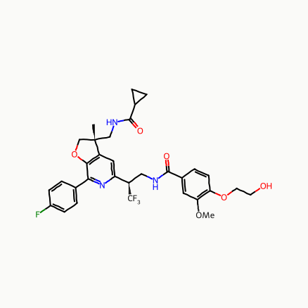 COc1cc(C(=O)NC[C@H](c2cc3c(c(-c4ccc(F)cc4)n2)OC[C@]3(C)CNC(=O)C2CC2)C(F)(F)F)ccc1OCCO